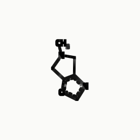 CN1Cc2ncoc2C1